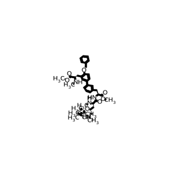 CNC[C@@H](C[C@H](NC)C(=O)N[C@@H](Cc1cccc(-c2ccc(OCc3ccccc3)c(C[C@H](NC)C(=O)OC)c2)c1)C(=O)OC)O[Si](C)(C)C(C)(C)C